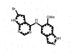 COc1cc2[nH]ncc2cc1Nc1ncnc2[nH]c(Br)cc12